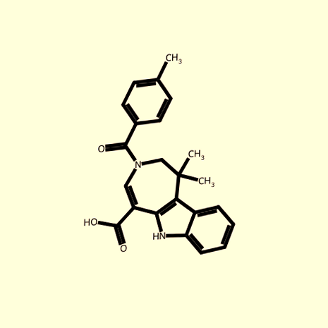 Cc1ccc(C(=O)N2C=C(C(=O)O)c3[nH]c4ccccc4c3C(C)(C)C2)cc1